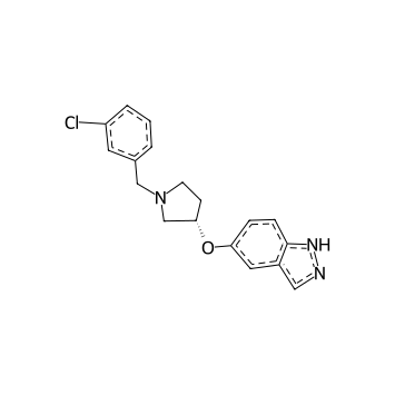 Clc1cccc(CN2CC[C@H](Oc3ccc4[nH]ncc4c3)C2)c1